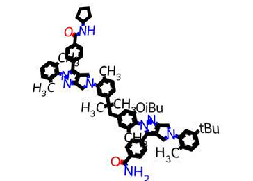 Cc1ccc(C(C)(C)Cc2cc(C)c(-n3nc4c(c3-c3ccc(C(N)=O)cc3)CN(c3cc(C(C)(C)C)ccc3C)C4)c(OCC(C)C)c2)cc1N1Cc2nn(-c3c(C)cccc3C)c(-c3ccc(C(=O)NC4CCCC4)cc3)c2C1